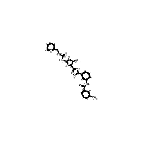 Cc1cccc(C(=O)Nc2cccc(-c3noc(-c4sc(NC(=O)NCc5ccccc5)nc4N)n3)c2)c1